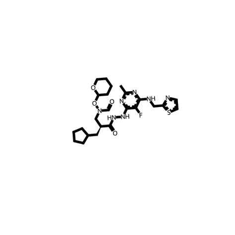 Cc1nc(NCc2nccs2)c(F)c(NNC(=O)[C@@H](CC2CCCC2)CN(C=O)OC2CCCCO2)n1